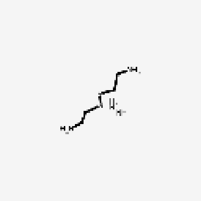 N.N.NCCSSCCN